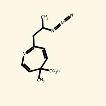 CC(CC1=NC=CC(C)(C(=O)O)C=C1)N=[N+]=[N-]